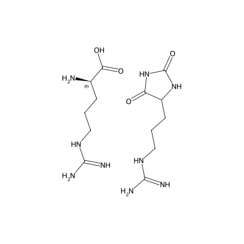 N=C(N)NCCCC1NC(=O)NC1=O.N=C(N)NCCC[C@@H](N)C(=O)O